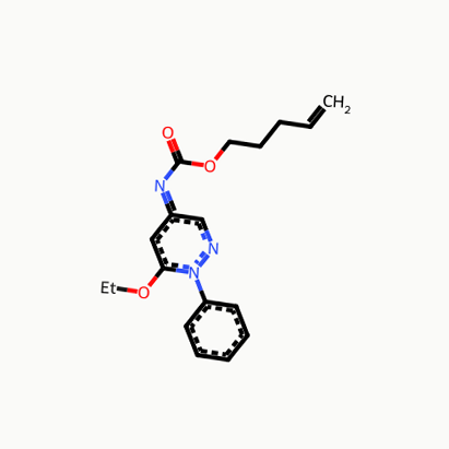 C=CCCCOC(=O)N=c1cnn(-c2ccccc2)c(OCC)c1